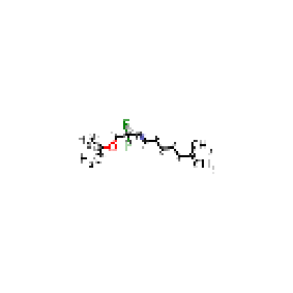 CC(C)CCCC/C=C/C(F)(F)COC(C)C